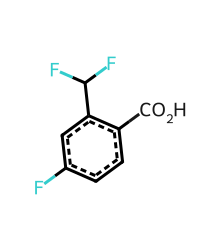 O=C(O)c1ccc(F)cc1C(F)F